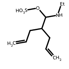 C=CCC(CC=C)C(NCC)OS(=O)(=O)O